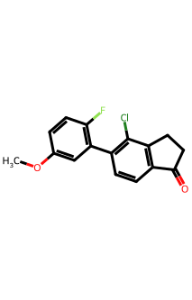 COc1ccc(F)c(-c2ccc3c(c2Cl)CCC3=O)c1